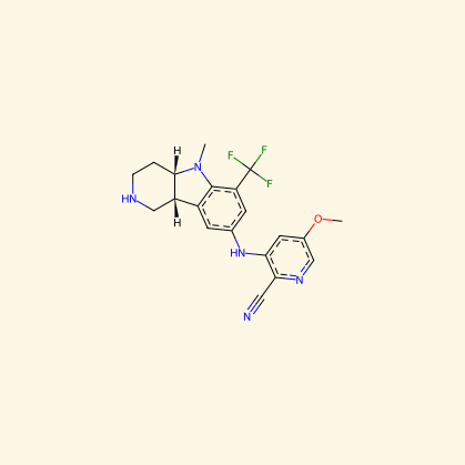 COc1cnc(C#N)c(Nc2cc3c(c(C(F)(F)F)c2)N(C)[C@H]2CCNC[C@@H]32)c1